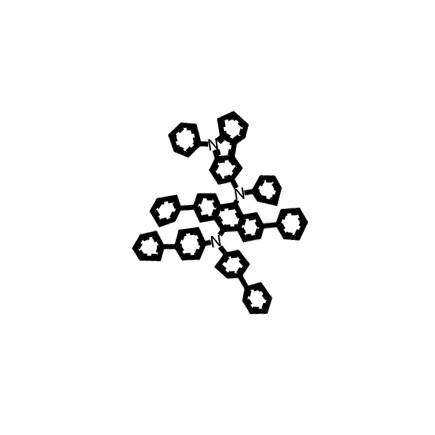 c1ccc(-c2ccc(N(c3ccc(-c4ccccc4)cc3)c3c4ccc(-c5ccccc5)cc4c(N(c4ccccc4)c4ccc5c(c4)c4ccccc4n5-c4ccccc4)c4ccc(-c5ccccc5)cc34)cc2)cc1